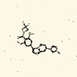 COc1cc(-c2cnc3cc(-c4cnn(C)c4)ccn23)cc(OC)c1C(=O)N1CC(F)(F)C1